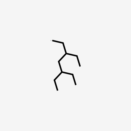 [CH2]CC(CC)CC(CC)CC